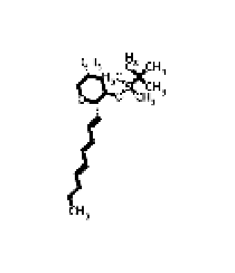 CCC/C=C/C=C/C=C/[C@@H]1OC[C@H](C)C[C@H]1O[Si](C)(C)C(C)(C)C